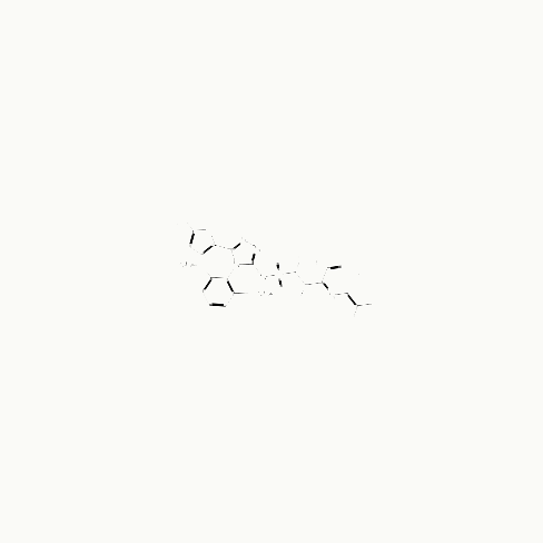 C=C/C(=N\C=C(/C)F)[C@@H](O)[C@H](C)S(=O)(=O)Nc1nnc(-c2ccc(C)o2)n1-c1c(OC)cccc1OC